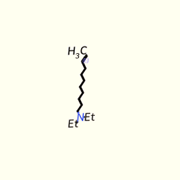 C/C=C/CCCCCCCCN(CC)CC